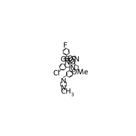 COc1ccc(CN2CCN(C)CC2)cc1C1(N2CCCC2c2ncco2)C(=O)N(S(=O)(=O)c2ccc(F)cc2)c2ccc(Cl)cc21